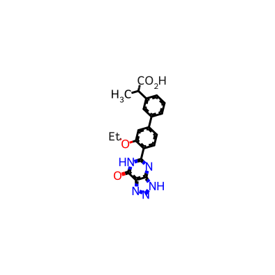 CCOc1cc(-c2cccc(C(C)C(=O)O)c2)ccc1-c1nc2[nH]nnc2c(=O)[nH]1